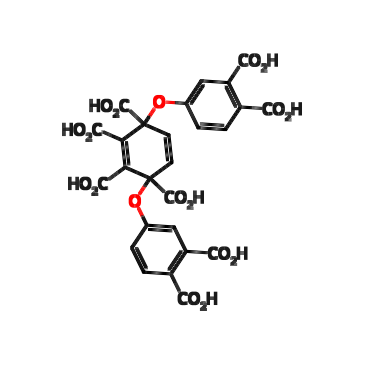 O=C(O)C1=C(C(=O)O)C(Oc2ccc(C(=O)O)c(C(=O)O)c2)(C(=O)O)C=CC1(Oc1ccc(C(=O)O)c(C(=O)O)c1)C(=O)O